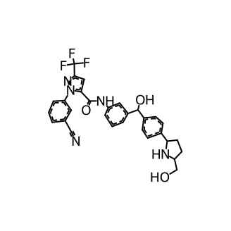 N#Cc1cccc(-n2nc(C(F)(F)F)cc2C(=O)Nc2cccc(C(O)c3ccc(C4CCC(CO)N4)cc3)c2)c1